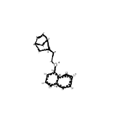 C1=CC2CC1CC2CCOc1cccc2ccccc12